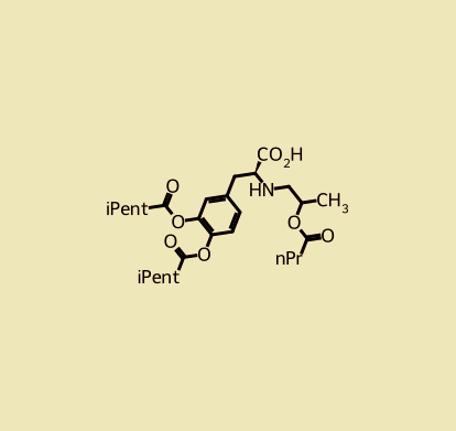 CCCC(=O)OC(C)CN[C@@H](Cc1ccc(OC(=O)C(C)CCC)c(OC(=O)C(C)CCC)c1)C(=O)O